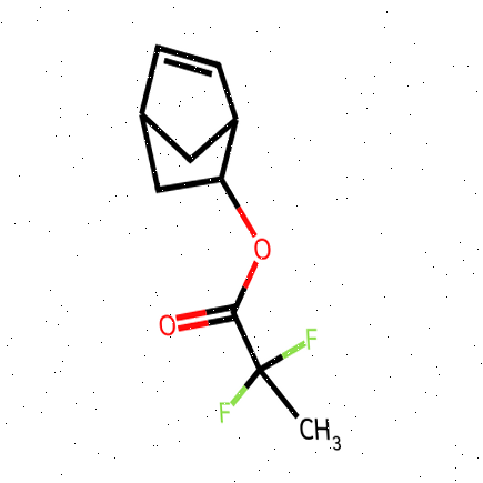 CC(F)(F)C(=O)OC1CC2C=CC1C2